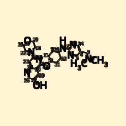 CN(C)Cc1cnc(NC2CCC(Oc3nc(N4CCOCC4)cc4ncc(O)cc34)CC2)nc1